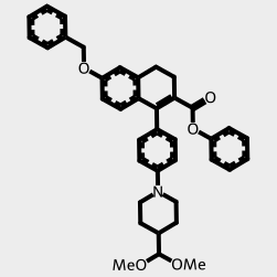 COC(OC)C1CCN(c2ccc(C3=C(C(=O)Oc4ccccc4)CCc4cc(OCc5ccccc5)ccc43)cc2)CC1